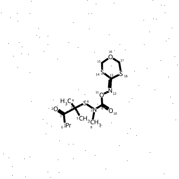 CC(C)C(=O)C(C)(C)SN(C)C(=O)ON=C1SCOCS1